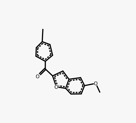 COc1ccc2oc(C(=O)c3ccc(C)cc3)cc2c1